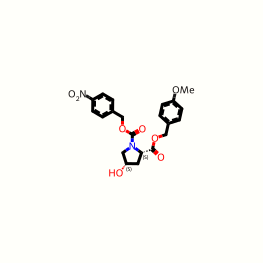 COc1ccc(COC(=O)[C@@H]2C[C@H](O)CN2C(=O)OCc2ccc([N+](=O)[O-])cc2)cc1